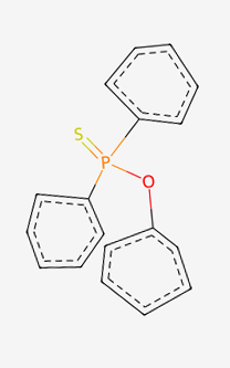 S=P(Oc1ccccc1)(c1ccccc1)c1ccccc1